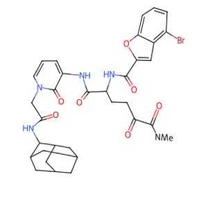 CNC(=O)C(=O)CCC(NC(=O)c1cc2c(Br)cccc2o1)C(=O)Nc1cccn(CC(=O)NC2C3CC4CC(C3)CC2C4)c1=O